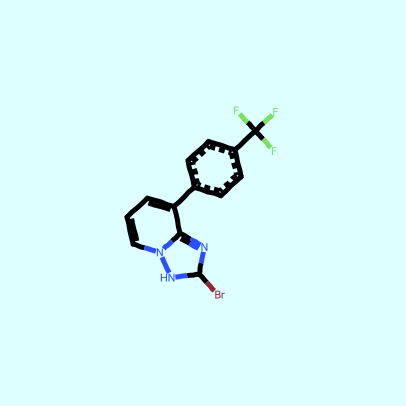 FC(F)(F)c1ccc(C2=CC=CN3NC(Br)N=C23)cc1